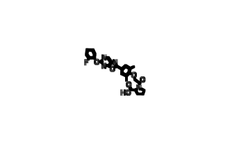 Cc1cc(-c2nc3cnc(Oc4ccccc4F)nc3o2)cc(C)c1OCC(=O)N1CCCC1C(=O)O